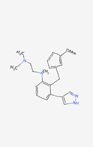 COc1cccc(Cc2c(N(C)CCN(C)C)[c]ccc2-c2cn[nH]c2)c1